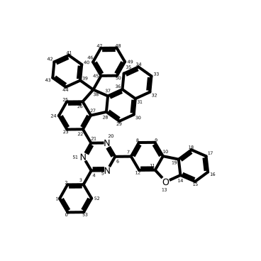 c1ccc(-c2nc(-c3ccc4c(c3)oc3ccccc34)nc(-c3cccc4c3-c3ccc5ccccc5c3C4(c3ccccc3)c3ccccc3)n2)cc1